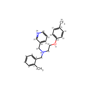 Cc1ccccc1CN(CCOc1ccc(C(F)(F)F)cc1)Cc1cccnc1